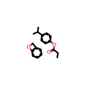 CCC(=O)Oc1ccc(C(C)C)cc1.c1ccc2c(c1)CO2